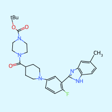 Cc1ccc2[nH]c(-c3cc(N4CCC(C(=O)N5CCN(C(=O)OC(C)(C)C)CC5)CC4)ccc3F)nc2c1